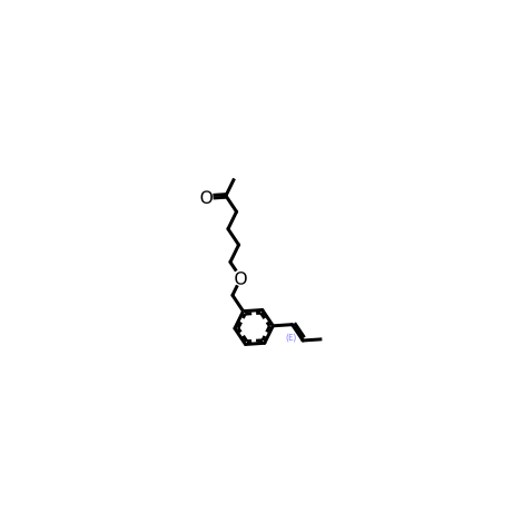 C/C=C/c1cccc(COCCCCC(C)=O)c1